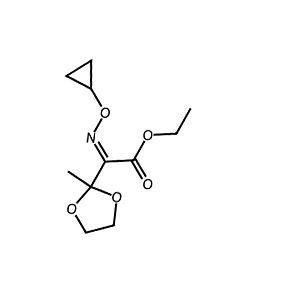 CCOC(=O)C(=NOC1CC1)C1(C)OCCO1